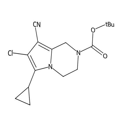 CC(C)(C)OC(=O)N1CCn2c(c(C#N)c(Cl)c2C2CC2)C1